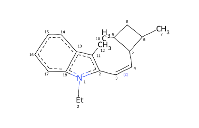 CCn1c(/C=C\C2C(C)CC2C)c(C)c2ccccc21